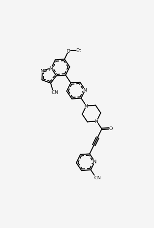 CCOc1cc(-c2ccc(N3CCN(C(=O)C#Cc4cccc(C#N)n4)CC3)nc2)c2c(C#N)cnn2c1